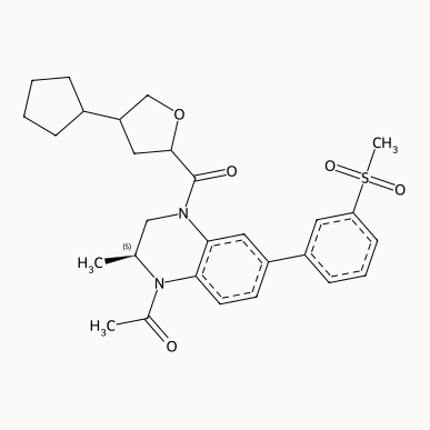 CC(=O)N1c2ccc(-c3cccc(S(C)(=O)=O)c3)cc2N(C(=O)C2CC(C3CCCC3)CO2)C[C@@H]1C